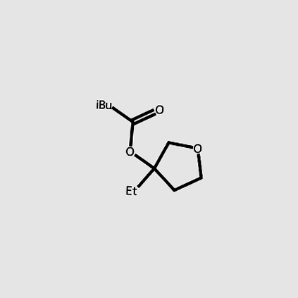 CCC(C)C(=O)OC1(CC)CCOC1